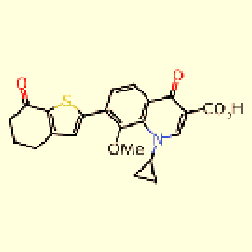 COc1c(-c2cc3c(s2)C(=O)CCC3)ccc2c(=O)c(C(=O)O)cn(C3CC3)c12